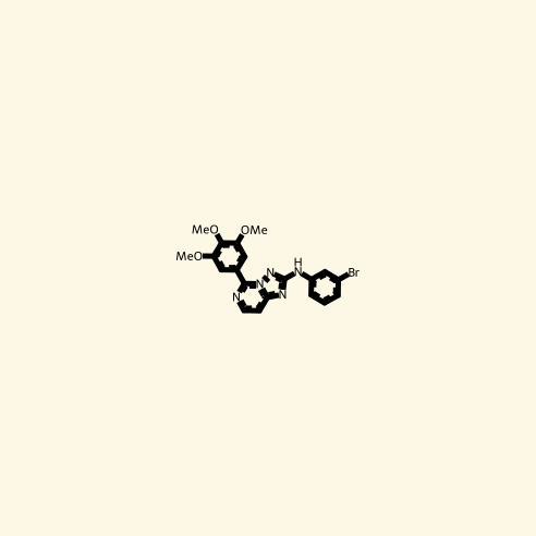 COc1cc(-c2nccc3nc(Nc4cccc(Br)c4)nn23)cc(OC)c1OC